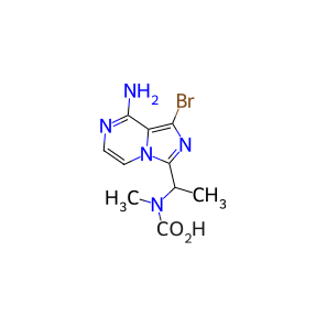 CC(c1nc(Br)c2c(N)nccn12)N(C)C(=O)O